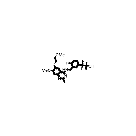 COCCOc1cc2c(NCc3cc(C(F)(F)C(C)(C)O)ccc3F)nc(C)nc2cc1OC